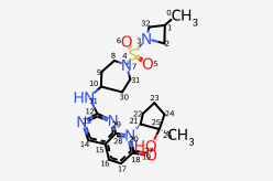 CC1CN(S(=O)(=O)N2CCC(Nc3ncc4ccc(=O)n([C@@H]5CCC[C@@]5(C)O)c4n3)CC2)C1